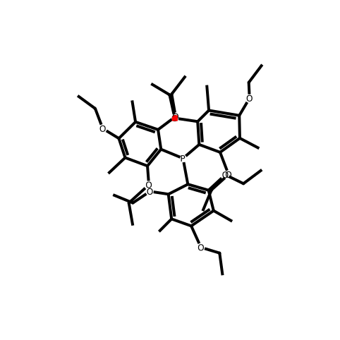 CCOc1c(C)c(OCC)c(P(c2c(OCC)c(C)c(OCC)c(C)c2OCC)c2c(OCC)c(C)c(OCC)c(C)c2OCC)c(OCC)c1C